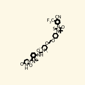 C[C@@H]1C[C@H](OCCO[C@H]2CC[C@H](N3C(=S)N(c4ccc(C#N)c(C(F)(F)F)c4)C(=O)C3(C)C)CC2)C[C@H](C)N1CC(=O)Nc1cccc2c(N3CCC(=O)NC3=O)nn(C)c12